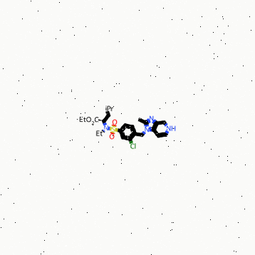 CCOC(=O)[C@H](CC(C)C)N(CC)S(=O)(=O)c1ccc(Cn2c(C)nc3c2C=CNC3)c(Cl)c1